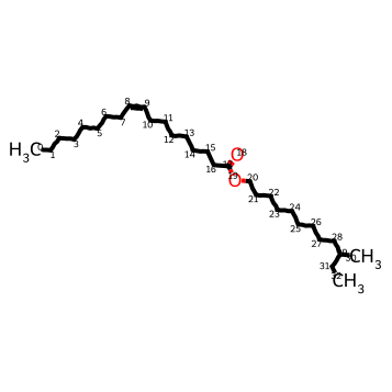 CCCCCCCC/C=C\CCCCCCCC(=O)OCCCCCCCCCC(C)CC